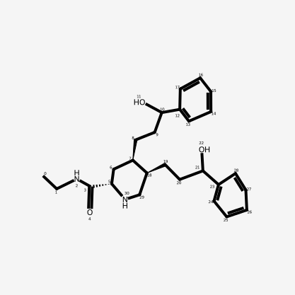 CCNC(=O)[C@@H]1C[C@@H](CCC(O)c2ccccc2)[C@@H](CCC(O)c2ccccc2)CN1